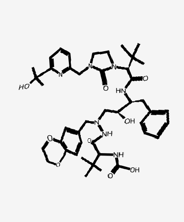 CC(C)(O)c1cccc(CN2CCN([C@H](C(=O)N[C@@H](Cc3ccccc3)[C@@H](O)CN(Cc3ccc4c(c3)OCCO4)NC(=O)C(NC(=O)O)C(C)(C)C)C(C)(C)C)C2=O)n1